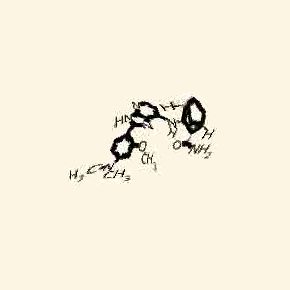 COc1cc(N(C)C)ccc1-c1nc2c(N[C@H]3[C@@H](C(N)=O)[C@@H]4C=C[C@H]3C4)ccnc2[nH]1